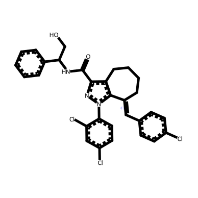 O=C(NC(CO)c1ccccc1)c1nn(-c2ccc(Cl)cc2Cl)c2c1CCCC/C2=C\c1ccc(Cl)cc1